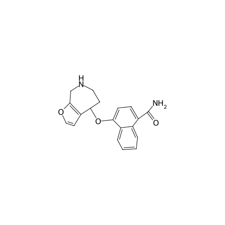 NC(=O)c1ccc(OC2CCNCc3occc32)c2ccccc12